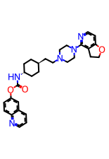 O=C(N[C@H]1CC[C@H](CCN2CCN(c3nccc4c3CCO4)CC2)CC1)Oc1ccc2ncccc2c1